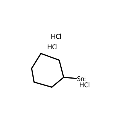 Cl.Cl.Cl.[Sn][CH]1CCCCC1